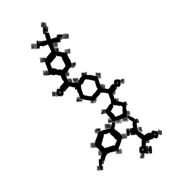 O=C(O)NC[C@H]1CN(C(=O)C2CCN(C(=O)c3ccc(C(F)(F)F)cn3)CC2)C[C@H]1c1ccc(F)cc1